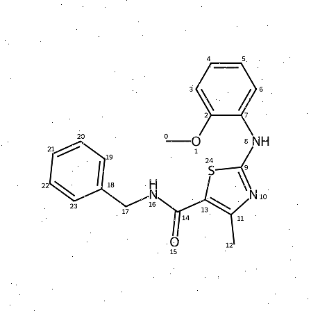 COc1ccccc1Nc1nc(C)c(C(=O)NCc2ccccc2)s1